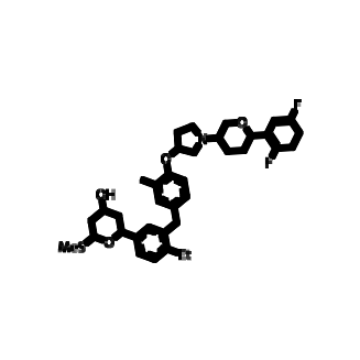 CCc1ccc(C2CC(O)CC(SC)O2)cc1Cc1ccc(OC2CCN(C3CCC(C4=C(F)CCC(F)=C4)OC3)C2)c(C)c1